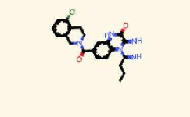 CCCC(=N)n1c(=N)c(=O)[nH]c2cc(C(=O)N3CCc4c(Cl)cccc4C3)ccc21